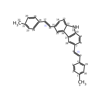 Cc1ccc(/C=C/c2ccc3[nH]c4ccc(/C=C/c5ccc(C)cc5)cc4c3c2)cc1